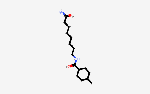 CC1CCC(C(=O)NCCCCCCCC(N)=O)CC1